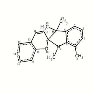 Cc1cccc2c1N(C)C1(C=Cc3ccccc3O1)C2(C)C